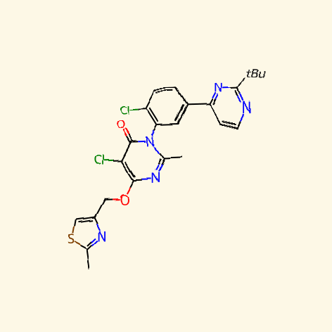 Cc1nc(COc2nc(C)n(-c3cc(-c4ccnc(C(C)(C)C)n4)ccc3Cl)c(=O)c2Cl)cs1